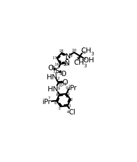 CC(C)c1cc(Cl)cc(C(C)C)c1NC(=O)NS(=O)(=O)c1ccn(CC(C)(C)O)n1